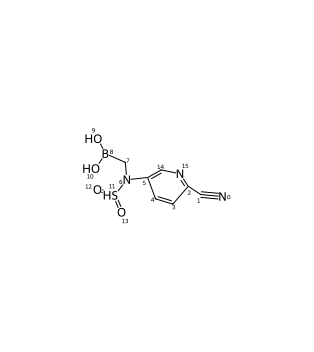 N#Cc1ccc(N(CB(O)O)[SH](=O)=O)cn1